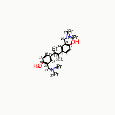 CC/C(=C(/CC)c1ccc(O)c(CN(C(C)C)C(C)C)c1)c1ccc(O)c(CN(C(C)C)C(C)C)c1